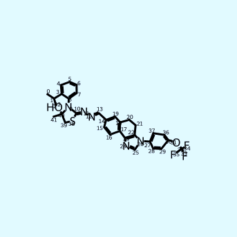 CC(C)c1ccccc1N1/C(=N/N=C/c2ccc3c(c2)CCc2c-3ncn2-c2ccc(OC(F)(F)F)cc2)SCC1(C)O